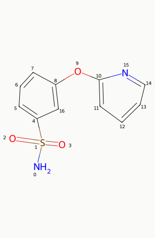 NS(=O)(=O)c1cccc(Oc2ccccn2)c1